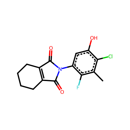 Cc1c(F)c(N2C(=O)C3=C(CCCC3)C2=O)cc(O)c1Cl